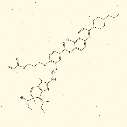 C=CC(=O)OCCCOc1ccc(C(=O)Oc2ccc3cc(C4CCC(CCC)CC4)ccc3c2Cl)cc1/C=N/Nc1nc2c(s1)C=CC(C)(/C(S)=C\C)/C2=C(/C)CC